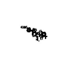 C[C@@H](Oc1c(N)ncc2c(-c3csc(C=O)c3)coc12)c1c(Cl)ccc(F)c1Cl